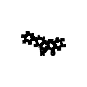 N#Cc1c(-c2ccc(-c3ccccc3)cc2F)nc2n(c1=O)CCCS2